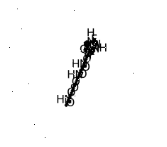 C=CC(=O)Nc1cccc(Nc2nc(Nc3ccc(OCCOCCNC(=O)CCCC(=O)NCCCOCCOCCOCCCNC(=O)CCC)c(F)c3)ncc2F)c1